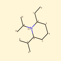 CCC1CCCC(C(C)C)N1C(C)C